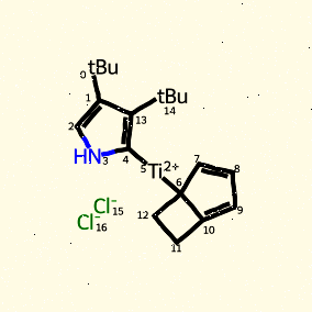 CC(C)(C)c1c[nH][c]([Ti+2][C]23C=CC=C2CC3)c1C(C)(C)C.[Cl-].[Cl-]